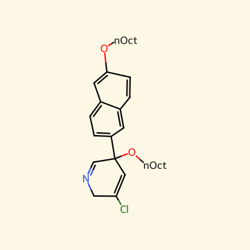 CCCCCCCCOc1ccc2cc(C3(OCCCCCCCC)C=NCC(Cl)=C3)ccc2c1